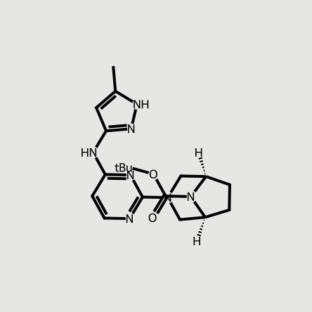 Cc1cc(Nc2ccnc(N3C[C@H]4CC[C@@H](C3)N4C(=O)OC(C)(C)C)n2)n[nH]1